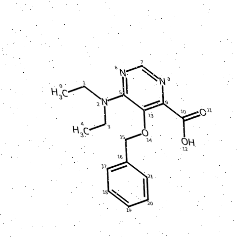 CCN(CC)c1ncnc(C(=O)O)c1OCc1ccccc1